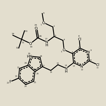 COCC(COc1c(Cl)nc(Cl)nc1NCCc1c[nH]c2cc(F)ccc12)NC(=O)OC(C)(C)C